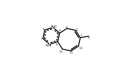 CC1=C/Cc2nccnc2C/C=C\1